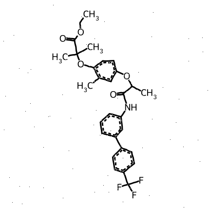 CCOC(=O)C(C)(C)Oc1ccc(OC(C)C(=O)Nc2cccc(-c3ccc(C(F)(F)F)cc3)c2)cc1C